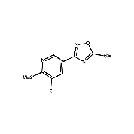 CSc1ncc(-c2noc(C(C)(C)C)n2)cc1Cl